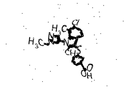 CCn1cc(-n2c(C)c(Sc3cccc(C(=O)O)c3)c3ccc(Cl)c(C)c32)cn1